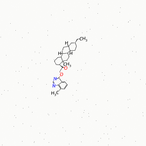 CC[C@H]1CC[C@@H]2C3CC[C@@]4(C)C(CCC[C@@H]4C(=O)COc4ncnc5c(C)cccc45)[C@@H]3CC[C@@H]2C1